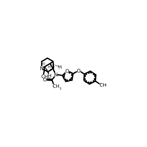 [CH]c1ccc(Oc2ccc(N(C(C)=O)[C@@H]3C4CCN(CC4)[C@H]3C)o2)cc1